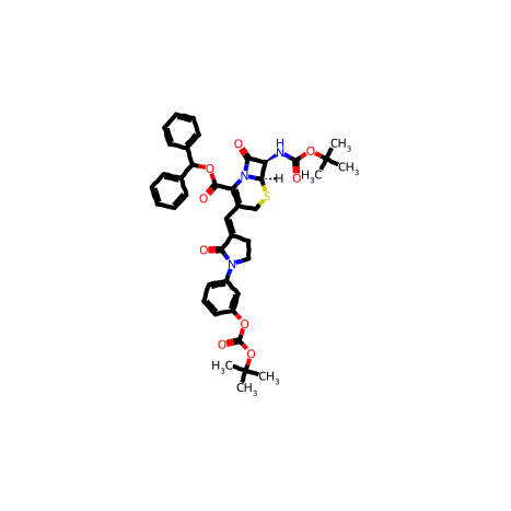 CC(C)(C)OC(=O)N[C@@H]1C(=O)N2C(C(=O)OC(c3ccccc3)c3ccccc3)=C(/C=C3\CCN(c4cccc(OC(=O)OC(C)(C)C)c4)C3=O)CS[C@H]12